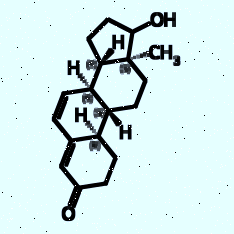 C[C@]12CC[C@H]3[C@@H](C=CC4=CC(=O)CC[C@@H]43)[C@@H]1CCC2O